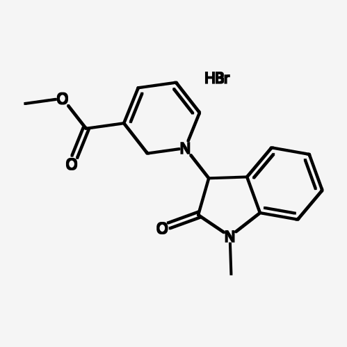 Br.COC(=O)C1=CC=CN(C2C(=O)N(C)c3ccccc32)C1